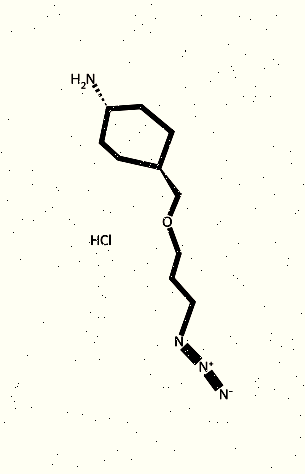 Cl.[N-]=[N+]=NCCCOC[C@H]1CC[C@H](N)CC1